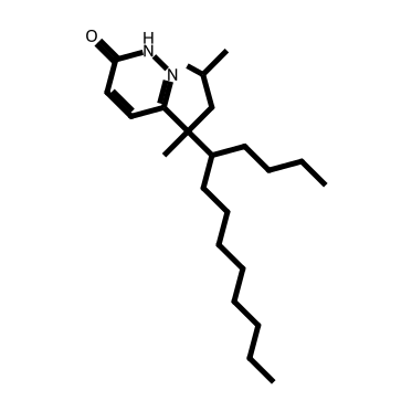 CCCCCCCCC(CCCC)C(C)(CC(C)C)c1ccc(=O)[nH]n1